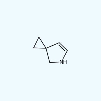 C1=CC2(CC2)CN1